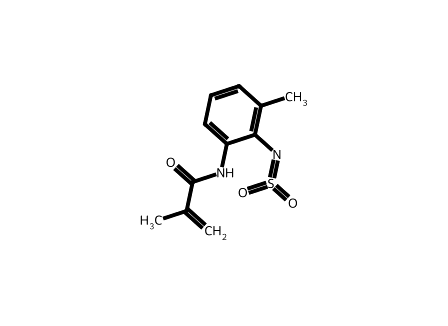 C=C(C)C(=O)Nc1cccc(C)c1N=S(=O)=O